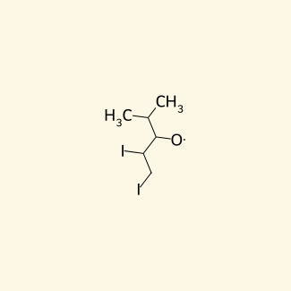 CC(C)C([O])C(I)CI